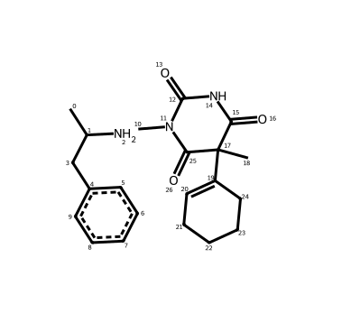 CC(N)Cc1ccccc1.CN1C(=O)NC(=O)C(C)(C2=CCCCC2)C1=O